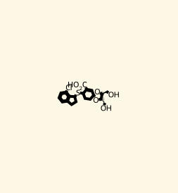 O=C(O)C1=CC2(CCC1SC1CCc3cccc(Cl)c31)O[C@@H](CO)[C@H](CO)O2